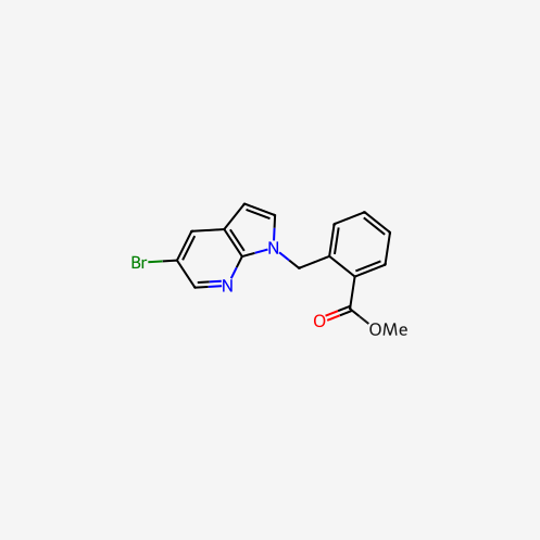 COC(=O)c1ccccc1Cn1ccc2cc(Br)cnc21